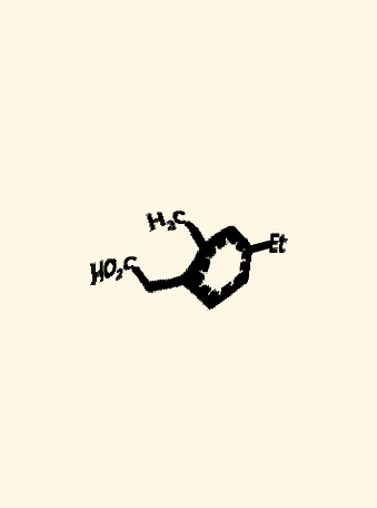 CCc1ccc(CC(=O)O)c(C)c1